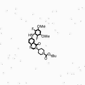 COc1cc(OC)c(F)c(Nc2ccc3ncn(C4CCN(C(=O)OC(C)(C)C)CC4)c(=O)c3c2)c1F